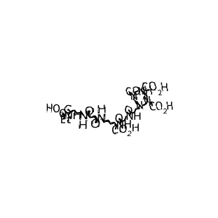 CCC(=O)NC(CCCNC(=O)CCC(=O)NCCCCC(NC(=O)CCNC(=O)CCCN1CCN(CC(=O)O)CCN(CC(=O)O)CCN(CC(=O)O)CC1)C(=O)O)C(=O)O